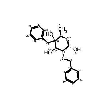 C[C@H]1O[C@H](O)[C@@H](OCc2ccccc2)[C@@H](O)[C@@]1(O)Cc1ccccc1